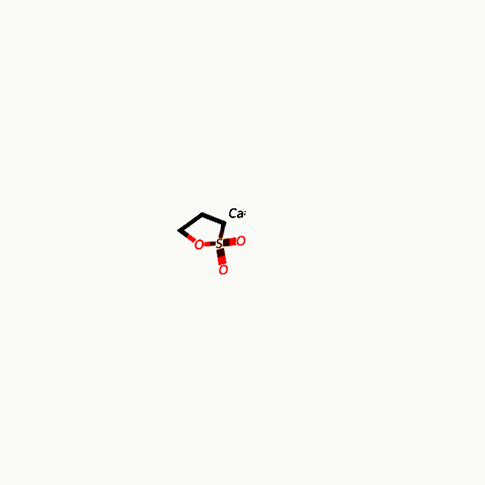 O=S1(=O)CCCO1.[Ca]